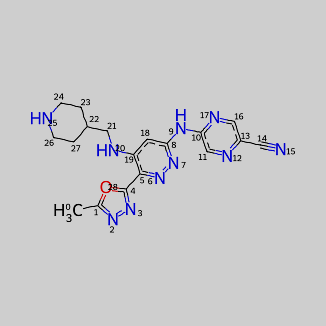 Cc1nnc(-c2nnc(Nc3cnc(C#N)cn3)cc2NCC2CCNCC2)o1